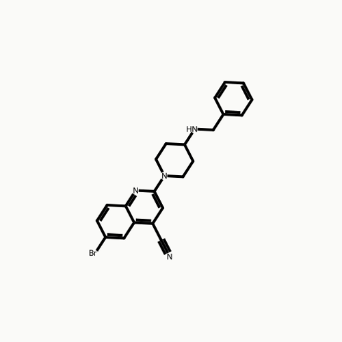 N#Cc1cc(N2CCC(NCc3ccccc3)CC2)nc2ccc(Br)cc12